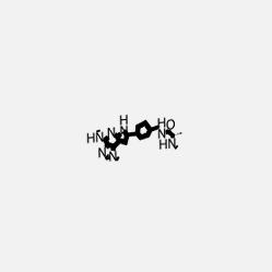 CNc1nc2[nH]c(-c3ccc(CNC(=O)[C@H](C)NC)cc3)cc2c2c1ncn2C